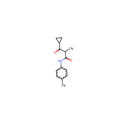 N#Cc1ccc(NC(=O)C(C#N)C(=O)C2CC2)cc1